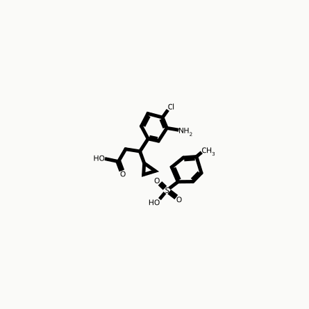 Cc1ccc(S(=O)(=O)O)cc1.Nc1cc(C(CC(=O)O)C2CC2)ccc1Cl